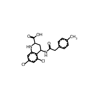 Cc1ccc(CC(=O)NC2CC(C(=O)O)Nc3cc(Cl)cc(Cl)c32)cc1